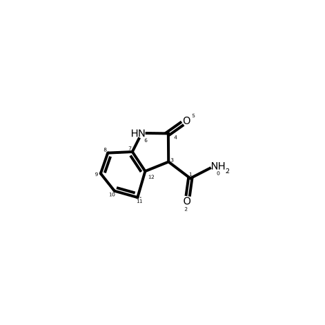 NC(=O)C1C(=O)Nc2ccc[c]c21